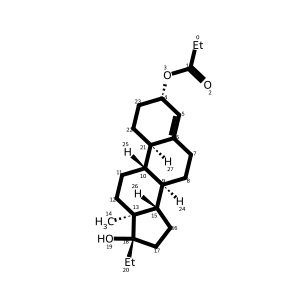 CCC(=O)O[C@@H]1C=C2CC[C@@H]3[C@H](CC[C@@]4(C)[C@H]3CC[C@@]4(O)CC)[C@H]2CC1